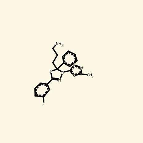 Cc1nnc(N2N=C(c3cccc(F)c3)SC2(CCCN)c2ccccc2)s1